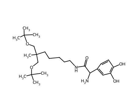 CC(CCCCCNC(=O)C(N)c1ccc(O)c(O)c1)(COC(C)(C)C)COC(C)(C)C